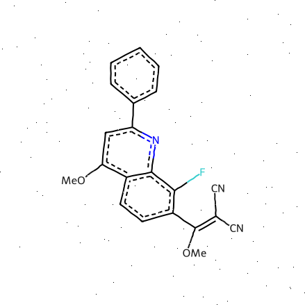 COC(=C(C#N)C#N)c1ccc2c(OC)cc(-c3ccccc3)nc2c1F